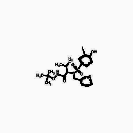 CC(C)C(C(=O)NOC(C)(C)C)N(Cc1cccnc1)S(=O)(=O)c1ccc(O)c(I)c1